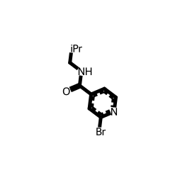 CC(C)CNC(=O)c1ccnc(Br)c1